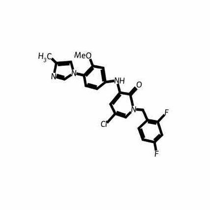 COc1cc(Nc2cc(Cl)cn(Cc3ccc(F)cc3F)c2=O)ccc1-n1cnc(C)c1